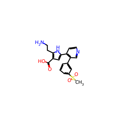 CS(=O)(=O)c1cccc(-c2cnccc2-c2cc(C(=O)O)c(CCN)[nH]2)c1